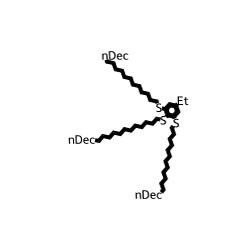 [CH2]Cc1cc(SCCCCCCCCCCCCCCCCCCCCCC)c(SCCCCCCCCCCCCCCCCCCCCCC)c(SCCCCCCCCCCCCCCCCCCCCCC)c1